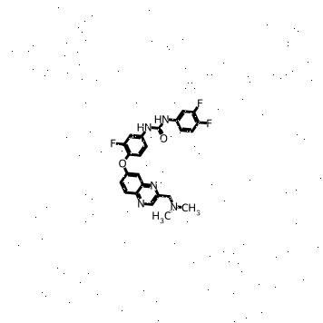 CN(C)Cc1cnc2ccc(Oc3ccc(NC(=O)Nc4ccc(F)c(F)c4)cc3F)cc2n1